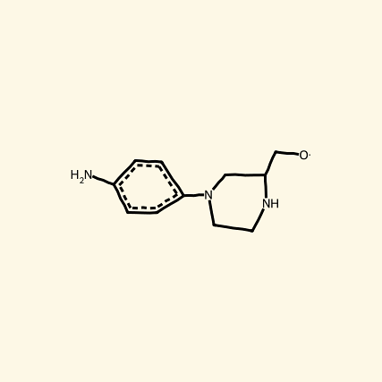 Nc1ccc(N2CCNC(C[O])C2)cc1